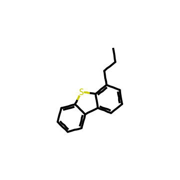 CCCc1cccc2c1sc1ccccc12